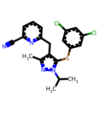 Cc1nn(C(C)C)c(Sc2cc(Cl)cc(Cl)c2)c1Cc1cccc(C#N)n1